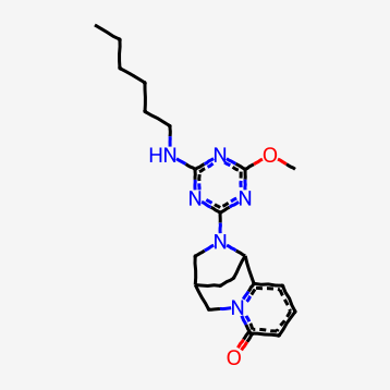 CCCCCCNc1nc(OC)nc(N2CC3CCC2c2cccc(=O)n2C3)n1